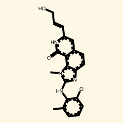 Cc1cccc(Cl)c1Nc1nc2ccc3cc(/C=C/CO)[nH]c(=O)c3c2n1C